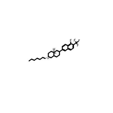 CCCCCCC[C@@H]1CC[C@@H]2CC(c3ccc4c(F)c(C(F)(F)F)ccc4c3)CCC2C1